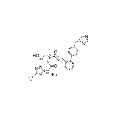 CC(C)(C)[C@@H](C(=O)N1C[C@H](O)C[C@H]1C(=O)NCc1ccccc1-c1ccc(Cn2cncn2)cc1)n1cc(C2CC2)nn1